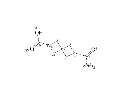 NC(=O)C1CC2(C1)CN(C(=O)O)C2